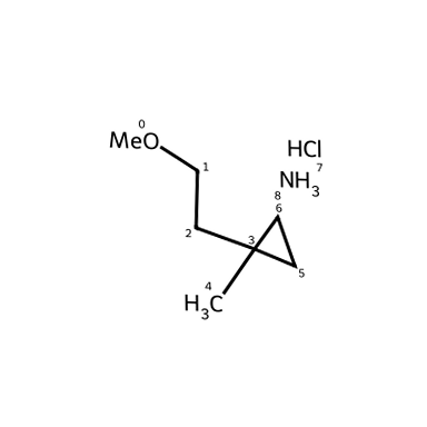 COCCC1(C)CC1.Cl.N